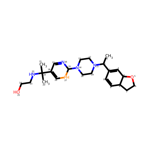 CC(C1=CC2OCCC2C=C1)N1CCN(C2N=CC(C(C)(C)NCCO)=CP2)CC1